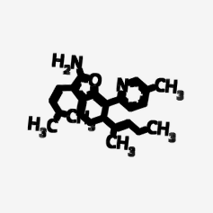 CCC=C(C)C1CC=c2c(/C=C\C(C)C)c(N)oc2=C1c1ccc(C)cn1